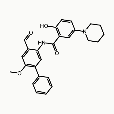 COc1cc(C=O)c(NC(=O)c2cc(N3CCCCC3)ccc2O)cc1-c1ccccc1